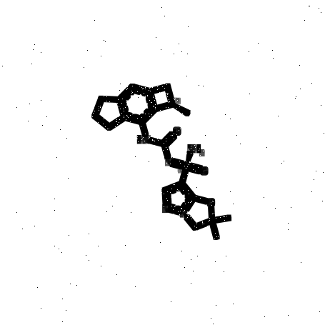 C[C@@H]1Cc2cc3c(c(NC(=O)N=[S@](N)(=O)c4cnn5c4OC(C)(C)C5)c21)CCC3